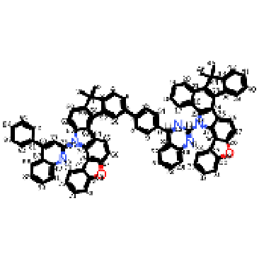 CC1(C)c2ccc(-c3ccc(-c4nc(-n5c6c7ccccc7c7c(c6c6ccc8oc9ccccc9c8c65)-c5ccccc5C7(C)C)nc5ccccc45)cc3)cc2-c2c1ccc1c2c2ccc3oc4ccccc4c3c2n1-c1cc(-c2ccccc2)c2ccccc2n1